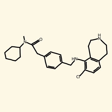 CN(C(=O)Cc1ccc(CNc2c(Cl)ccc3c2CCNCC3)cc1)C1CCCCC1